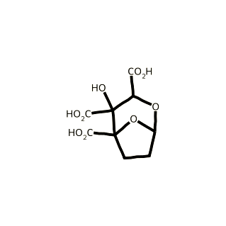 O=C(O)C1OC2CCC(C(=O)O)(O2)C1(O)C(=O)O